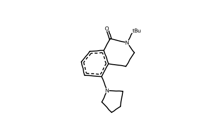 CC(C)(C)N1CCc2c(cccc2N2CCCC2)C1=O